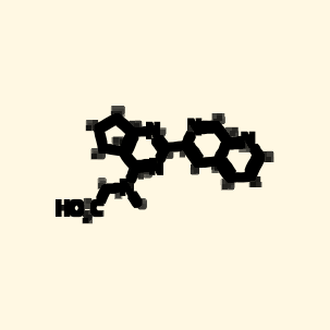 CN(CC(=O)O)c1nc(-c2cc3cccnc3cn2)nc2c1CCC2